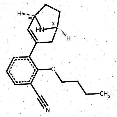 CCCCOc1c(C#N)cccc1C1=C[C@H]2CC[C@@H](C1)N2